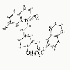 O=C(O)N(Cc1cc2c(cn1)OCCO2)CC1CN(CCn2c(=O)cnc3ccc(F)cc32)CCC1O